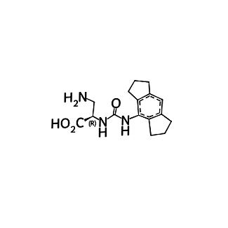 NC[C@@H](NC(=O)Nc1c2c(cc3c1CCC3)CCC2)C(=O)O